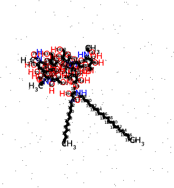 CCCCCCCCCCCCC/C=C/[C@@H](O)[C@H](CO[C@@H]1OC(CO)[C@@H](O[C@@H]2OC(CO)[C@H](O[C@@H]3OC(CO)[C@H](O)[C@H](O)C3NC(C)=O)[C@H](O[C@@H]3OC(CO)[C@@H](O)[C@H](O[C@@H]4OC(CO)[C@H](O[C@@H]5OC(CO)[C@H](O)[C@H](O)C5NC(C)=O)[C@H](O[C@]5(C(=O)O)CC(O)[C@@H](NC(C)=O)C([C@H](O)[C@H](O)CO)O5)C4O)C3NC(C)=O)C2O)[C@H](O)C1O)NC(=O)CCCCCCCCCCCCCCCCCCCCC